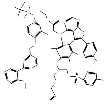 C=CCOC[C@H](COS(=O)(=O)c1ccc(C)cc1)Oc1c(Cl)c(C)c(-c2c(-c3ccc(F)cc3)sc3ncnc(O[C@H](Cc4cc(O[Si](C)(C)C(C)(C)C)ccc4OCc4ccnc(-c5ccccc5OC)n4)C(=O)OCC)c23)c(C)c1Cl